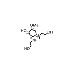 CO[C@@H]1C[C@H](N(C)CCO)[C@H](NCCO)C[C@@H]1O